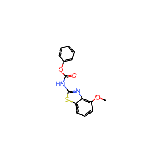 COc1cccc2sc(NC(=O)Oc3ccccc3)nc12